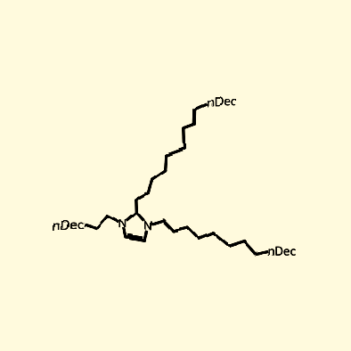 CCCCCCCCCCCCCCCCCCCC1N(CCCCCCCCCCCC)C=CN1CCCCCCCCCCCCCCCCCC